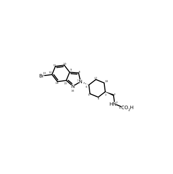 O=C(O)NC[C@H]1CC[C@H](n2cc3ccc(Br)cc3n2)CC1